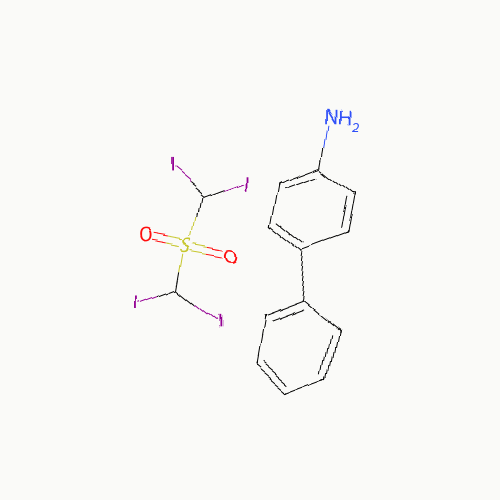 Nc1ccc(-c2ccccc2)cc1.O=S(=O)(C(I)I)C(I)I